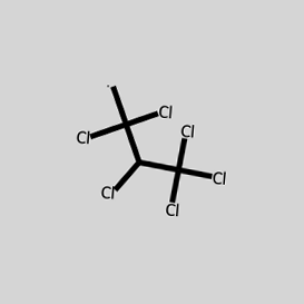 [CH2]C(Cl)(Cl)C(Cl)C(Cl)(Cl)Cl